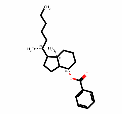 CCCCC[C@@H](C)C1CCC2[C@@H](OC(=O)c3ccccc3)CCC[C@]12C